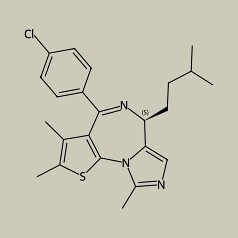 Cc1sc2c(c1C)C(c1ccc(Cl)cc1)=N[C@@H](CCC(C)C)c1cnc(C)n1-2